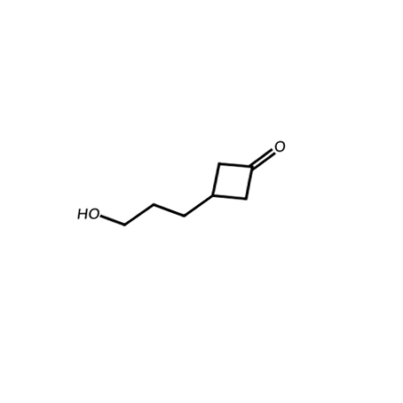 O=C1CC(CCCO)C1